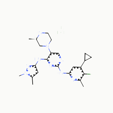 Cc1nc(Nc2ncc(N3CCN[C@H](C)C3)c(Nc3cc(C)n(C)n3)n2)cc(C2CC2)c1Cl.Cl.Cl